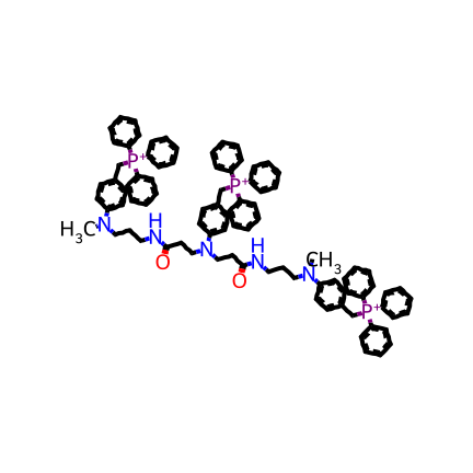 CN(CCCNC(=O)CCN(CCC(=O)NCCCN(C)c1ccc(C[P+](c2ccccc2)(c2ccccc2)c2ccccc2)cc1)c1ccc(C[P+](c2ccccc2)(c2ccccc2)c2ccccc2)cc1)c1ccc(C[P+](c2ccccc2)(c2ccccc2)c2ccccc2)cc1